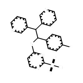 CS(=O)(=O)c1nccc(NC(c2ccc(F)cc2)C(c2cccnc2)c2cccnc2)n1